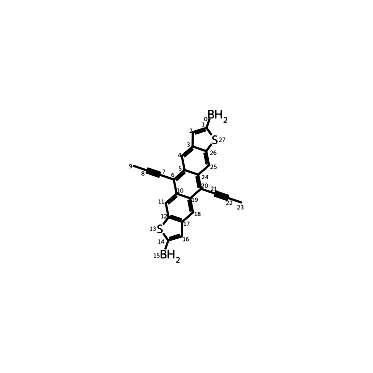 Bc1cc2cc3c(C#CC)c4cc5sc(B)cc5cc4c(C#CC)c3cc2s1